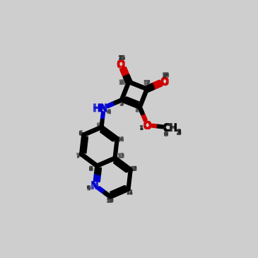 COc1c(Nc2ccc3ncccc3c2)c(=O)c1=O